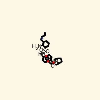 C=C/C=C\c1cccc(S(=O)(=O)Nc2ccc(C(=O)N3C4CCC3CN(Cc3ccc(F)cc3)C4)cc2)c1N